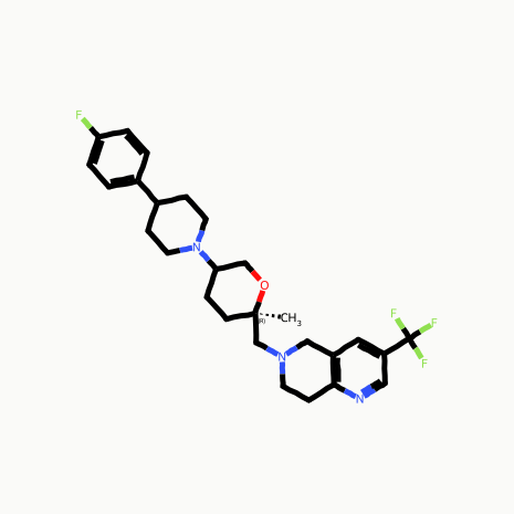 C[C@]1(CN2CCc3ncc(C(F)(F)F)cc3C2)CCC(N2CCC(c3ccc(F)cc3)CC2)CO1